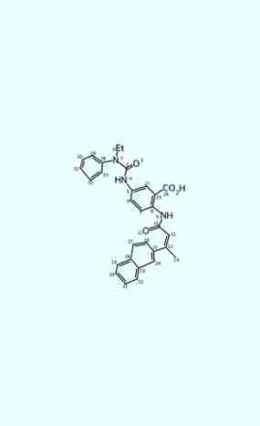 CCN(C(=O)Nc1ccc(NC(=O)/C=C(/C)c2ccc3ccccc3c2)c(C(=O)O)c1)c1ccccc1